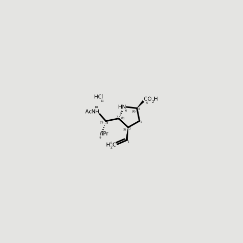 C=C[C@@H]1C[C@H](C(=O)O)N[C@H]1[C@H](CCC)NC(C)=O.Cl